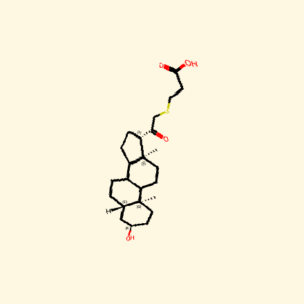 C[C@]12CCC3C(CC[C@H]4C[C@H](O)CC[C@]34C)C1CC[C@@H]2C(=O)CSCCC(=O)O